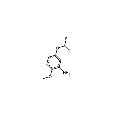 COc1c[c]c(OC(F)F)cc1N